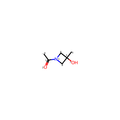 [CH2]C(=O)N1CC(C)(O)C1